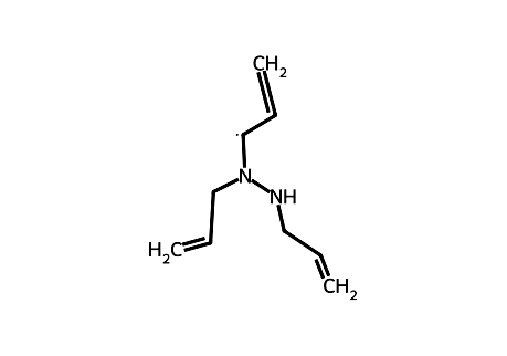 C=C[CH]N(CC=C)NCC=C